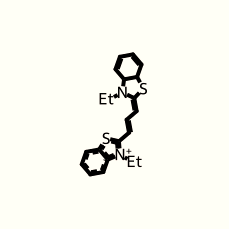 CCN1C(=CC=Cc2sc3ccccc3[n+]2CC)SC2C=CC=CC21